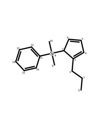 CCCC1=CC=C[C]1[Si](C)(C)c1ccccc1